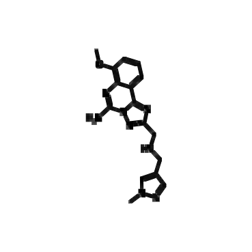 COc1cccc2c1nc(N)n1nc(CNCc3cnn(C)c3)nc21